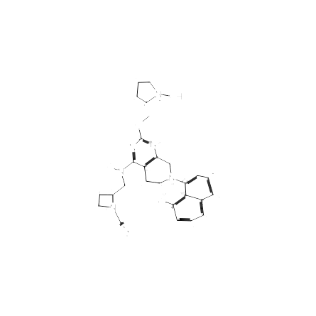 CN(CC1CCN1C#N)c1nc(OC[C@@H]2CCCN2C)nc2c1CCN(c1cccc3cccc(Cl)c13)C2